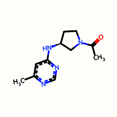 CC(=O)N1CC[C@H](Nc2cc(C)ncn2)C1